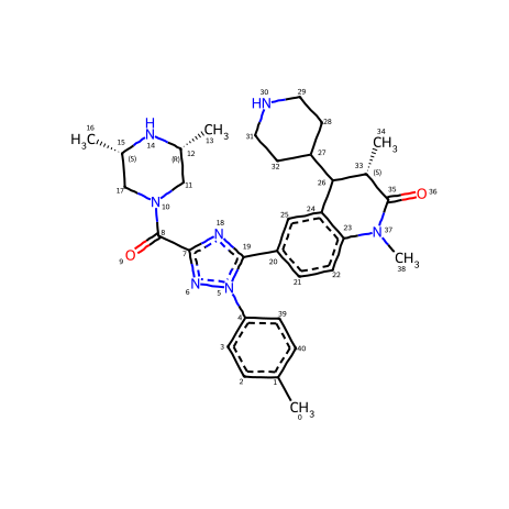 Cc1ccc(-n2nc(C(=O)N3C[C@@H](C)N[C@@H](C)C3)nc2-c2ccc3c(c2)C(C2CCNCC2)[C@H](C)C(=O)N3C)cc1